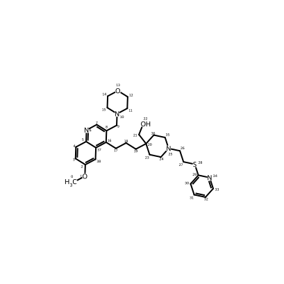 COc1ccc2ncc(CN3CCOCC3)c(CCCC3(CO)CCN(CCSc4ccccn4)CC3)c2c1